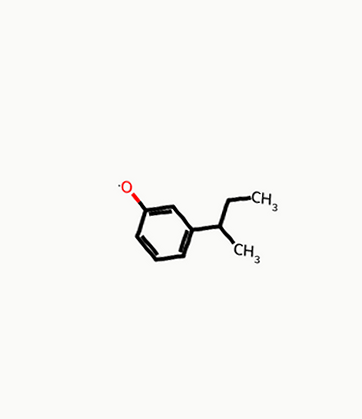 CCC(C)c1cccc([O])c1